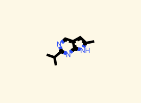 Cc1cc2cnc(C(C)C)nc2[nH]1